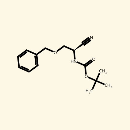 CC(C)(C)OC(=O)N[C@H](C#N)COCc1ccccc1